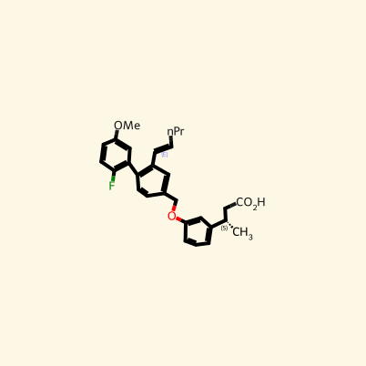 CCC/C=C/c1cc(COc2cccc([C@@H](C)CC(=O)O)c2)ccc1-c1cc(OC)ccc1F